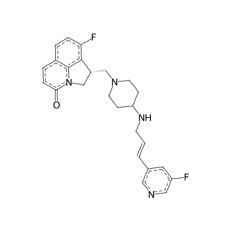 O=c1ccc2ccc(F)c3c2n1C[C@H]3CN1CCC(NC/C=C/c2cncc(F)c2)CC1